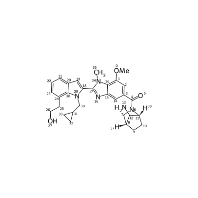 COc1cc(C(=O)N2C[C@H]3CC[C@@H]2C3N)cc2nc(-c3cc4cccc(CCO)c4n3CC3CC3)n(C)c12